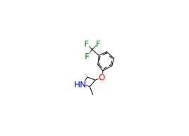 CC1NCC1Oc1cccc(C(F)(F)F)c1